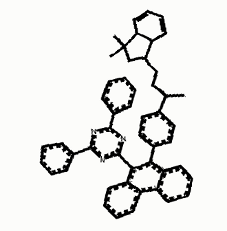 CC(CCC1CC(C)(C)C2C=CC=CC12)c1ccc(-c2c(-c3nc(-c4ccccc4)nc(-c4ccccc4)n3)c3ccccc3c3ccccc23)cc1